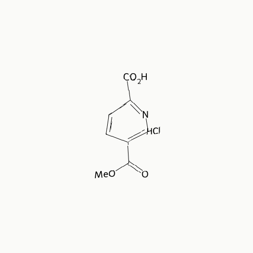 COC(=O)c1ccc(C(=O)O)nc1.Cl